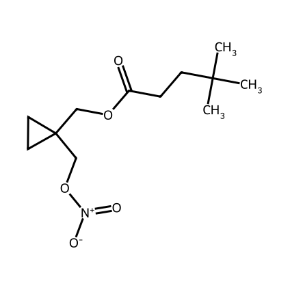 CC(C)(C)CCC(=O)OCC1(CO[N+](=O)[O-])CC1